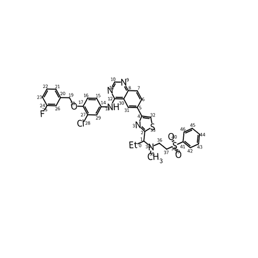 CCC(c1nc(-c2ccc3ncnc(Nc4ccc(OCc5cccc(F)c5)c(Cl)c4)c3c2)cs1)N(C)CCS(=O)(=O)c1ccccc1